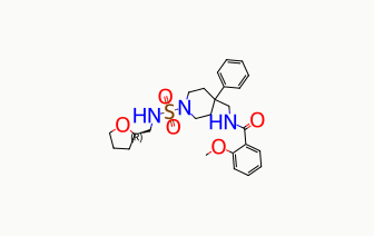 COc1ccccc1C(=O)NCC1(c2ccccc2)CCN(S(=O)(=O)NC[C@H]2CCCO2)CC1